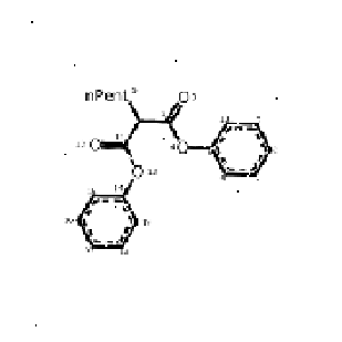 CCCCCC(C(=O)Oc1ccccc1)C(=O)Oc1ccccc1